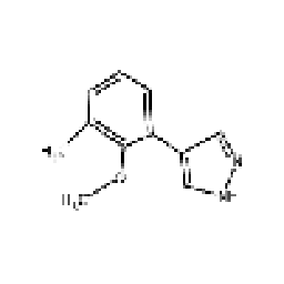 COc1c(C)cccc1-c1cn[nH]c1